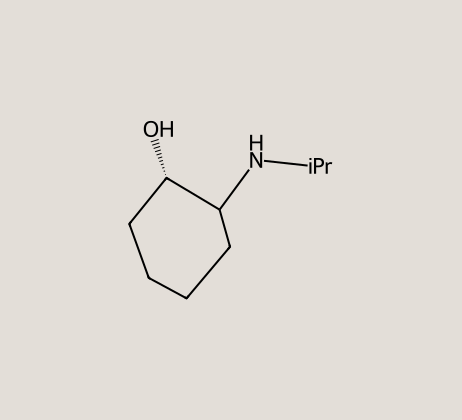 CC(C)NC1CCCC[C@@H]1O